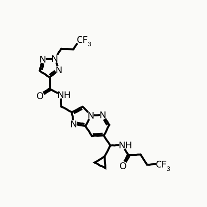 O=C(CCC(F)(F)F)NC(c1cnn2cc(CNC(=O)c3cnn(CCC(F)(F)F)n3)nc2c1)C1CC1